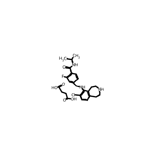 CC(C)NC(=O)c1ccc(CNc2c(Cl)ccc3c2CCNCC3)cc1F.O=C(O)CCC(=O)O